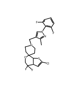 Cc1nn(-c2c(F)cccc2F)cc1CN1CCC2(CC1)OCC(F)(F)C1C=C(Cl)SC12